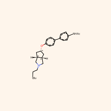 CC(=O)Nc1ccc(-c2ccc(O[C@@H]3C[C@@H]4CN(CCC(C)(C)C)C[C@@H]4C3)cc2)cc1